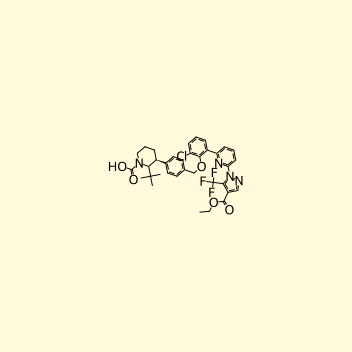 CCOC(=O)c1cnn(-c2cccc(-c3cccc(Cl)c3OCc3ccc([C@@H]4CCCN(C(=O)O)C4C(C)(C)C)cc3)n2)c1C(F)(F)F